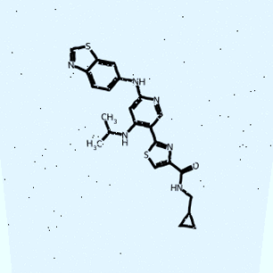 CC(C)Nc1cc(Nc2ccc3ncsc3c2)ncc1-c1nc(C(=O)NCC2CC2)cs1